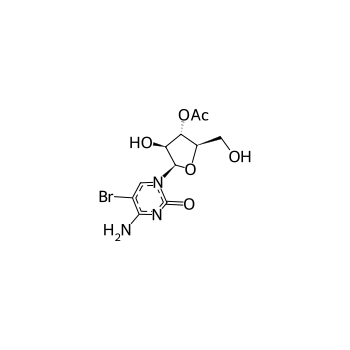 CC(=O)O[C@H]1[C@H](O)[C@H](n2cc(Br)c(N)nc2=O)O[C@@H]1CO